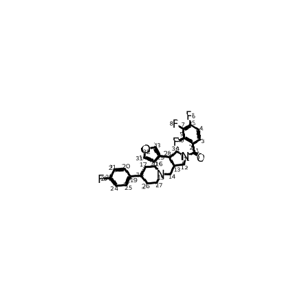 O=C(c1ccc(F)c(F)c1F)N1CC(CN2CCC(c3ccc(F)cc3)CC2)C(c2ccoc2)C1